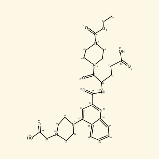 CCOC(=O)N1CCN(C(=O)C(CCC(=O)O)NC(=O)c2cc(N3CCN(CC(=O)O)CC3)c3ccccc3n2)CC1